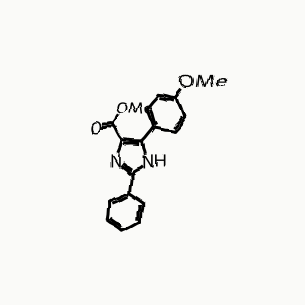 COC(=O)c1nc(-c2ccccc2)[nH]c1-c1ccc(OC)cc1